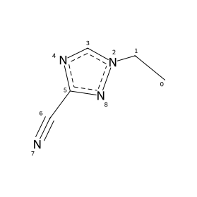 CCn1cnc(C#N)n1